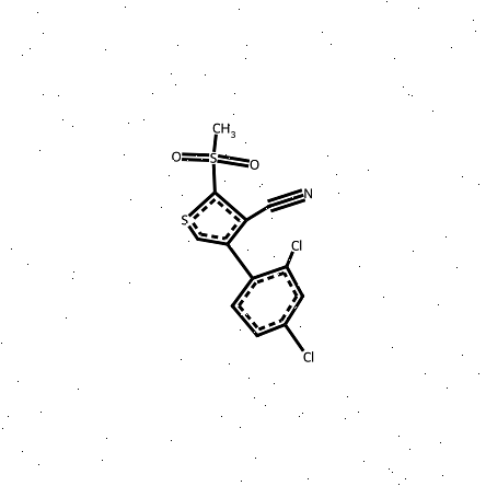 CS(=O)(=O)c1scc(-c2ccc(Cl)cc2Cl)c1C#N